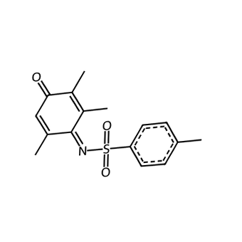 CC1=CC(=O)C(C)=C(C)/C1=N\S(=O)(=O)c1ccc(C)cc1